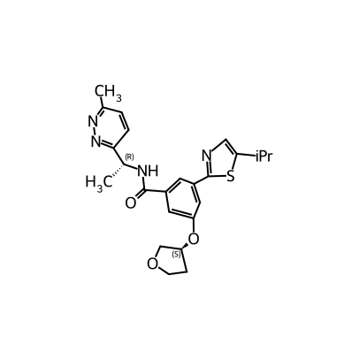 Cc1ccc([C@@H](C)NC(=O)c2cc(O[C@H]3CCOC3)cc(-c3ncc(C(C)C)s3)c2)nn1